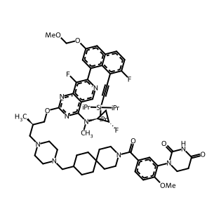 COCOc1cc(-c2ncc3c(N(C)[C@H]4C[C@@H]4F)nc(OC[C@H](C)CN4CCN(CC5CCC6(CC5)CCN(C(=O)c5ccc(OC)c(N7CCC(=O)NC7=O)c5)CC6)CC4)nc3c2F)c2c(C#C[Si](C(C)C)(C(C)C)C(C)C)c(F)ccc2c1